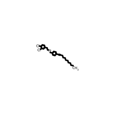 CCCCCCCCCCC#Cc1ccc(C[N]CCc2ccc(Cl)c(Cl)c2)cc1